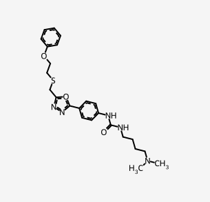 CN(C)CCCCNC(=O)Nc1ccc(-c2nnc(CSCCOc3ccccc3)o2)cc1